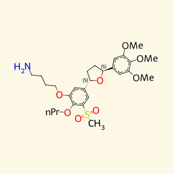 CCCOc1c(OCCCCN)cc([C@@H]2CC[C@@H](c3cc(OC)c(OC)c(OC)c3)O2)cc1S(C)(=O)=O